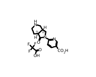 O=C(O)C(F)(F)F.O=C(O)c1ccc(N2C[C@@H]3CNCC[C@@H]3C2=O)nc1